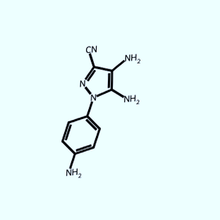 N#Cc1nn(-c2ccc(N)cc2)c(N)c1N